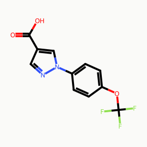 O=C(O)c1cnn(-c2ccc(OC(F)(F)F)cc2)c1